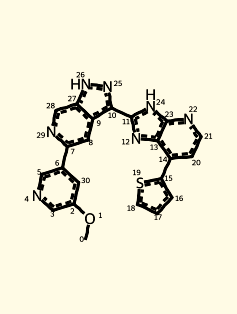 COc1cncc(-c2cc3c(-c4nc5c(-c6cccs6)ccnc5[nH]4)n[nH]c3cn2)c1